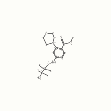 COC(=O)c1ccc(BOC(C)(C)C(C)(C)O)cc1N1CCOCC1